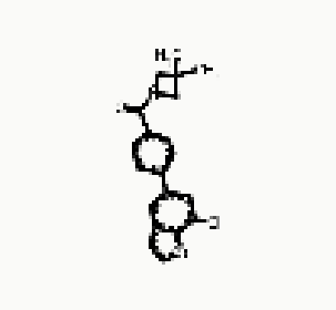 CC1(C)CN(C(=O)c2ccc(-c3cc(Cl)c4occc4c3)cc2)C1